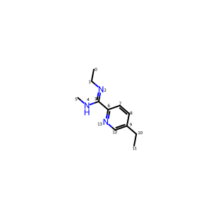 CC/N=C(\NC)c1ccc(CC)cn1